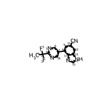 CC(F)(F)c1ncc(-c2cc(C#N)cc3[nH]cnc23)cn1